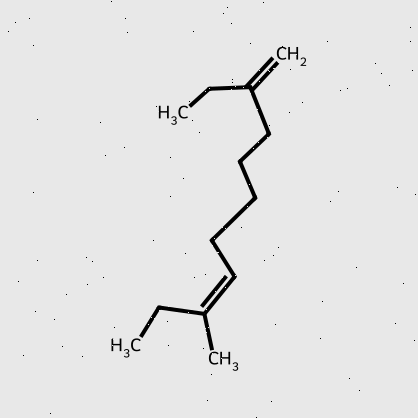 C=C(CC)CCCCC=C(C)CC